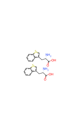 N[C@@H](Cc1csc2ccccc12)C(=O)O.N[C@@H](Cc1csc2ccccc12)C(=O)O